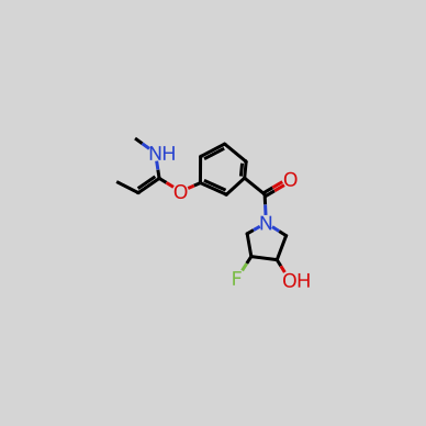 C/C=C(\NC)Oc1cccc(C(=O)N2CC(O)C(F)C2)c1